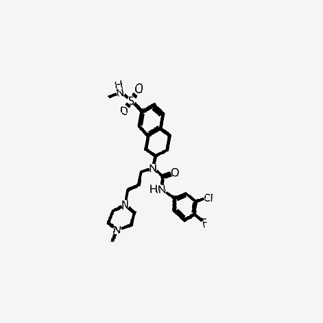 CNS(=O)(=O)c1ccc2c(c1)CC(N(CCCN1CCN(C)CC1)C(=O)Nc1ccc(F)c(Cl)c1)CC2